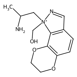 CC(N)C[N+]1(CO)N=Cc2ccc3c(c21)OCCO3